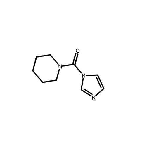 O=C(N1CCCCC1)n1ccnc1